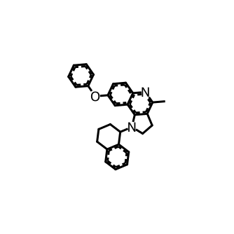 Cc1nc2ccc(Oc3ccccc3)cc2c2c1CCN2C1CCCc2ccccc21